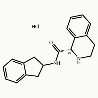 Cl.O=C(NC1Cc2ccccc2C1)[C@H]1NCCc2ccccc21